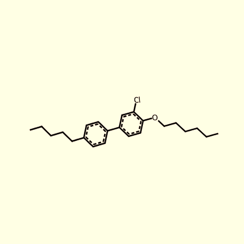 CCCCCCOc1ccc(-c2ccc(CCCCC)cc2)cc1Cl